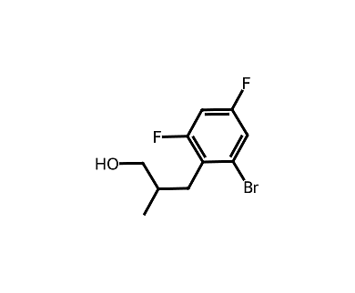 CC(CO)Cc1c(F)cc(F)cc1Br